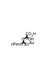 CCCCCC(CC)SC(O)C(=O)O.[Au]